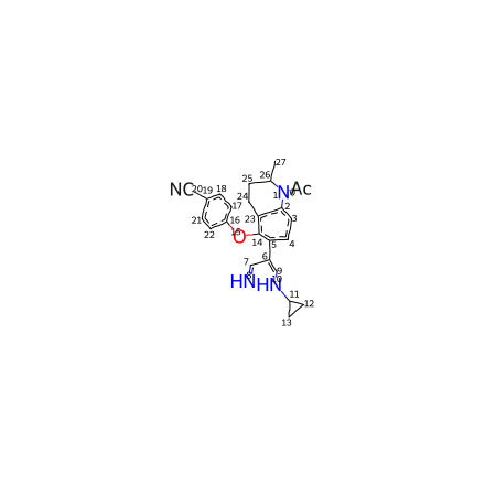 CC(=O)N1c2ccc(/C(C=N)=C/NC3CC3)c(Oc3ccc(C#N)cc3)c2CCC1C